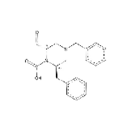 O=C[C@@H]1CN(Cc2ccccc2)C[C@@H](Cc2ccccc2)N1C(=O)O